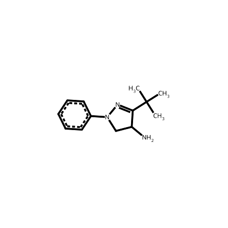 CC(C)(C)C1=NN(c2ccccc2)CC1N